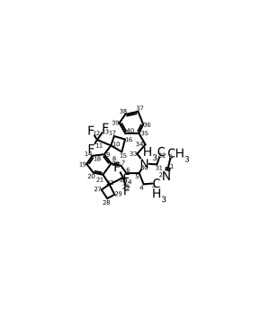 CC#N.CCC(CCc1c(C2(C(F)(F)F)CCC2)cccc1C1(C(F)(F)F)CCC1)N(CC)CCc1ccccc1